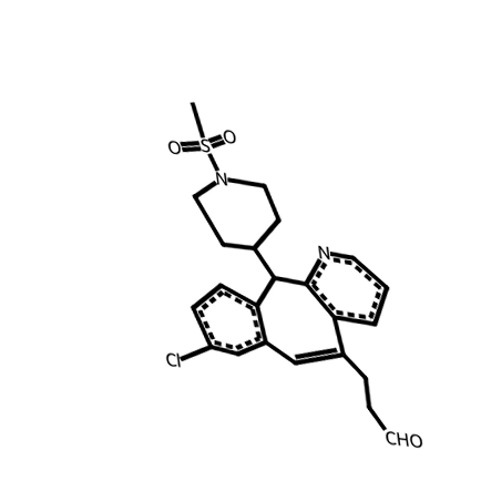 CS(=O)(=O)N1CCC(C2c3ccc(Cl)cc3C=C(CCC=O)c3cccnc32)CC1